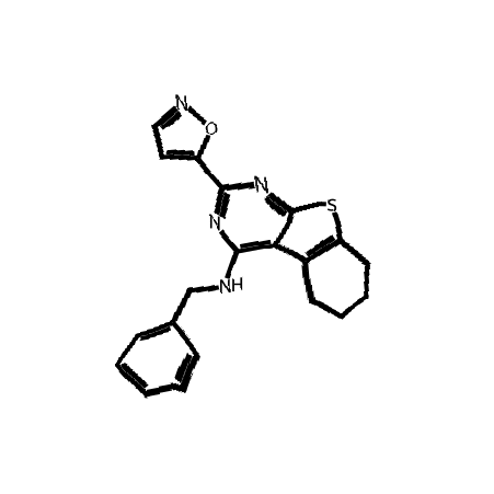 c1ccc(CNc2nc(-c3ccno3)nc3sc4c(c23)CCCC4)cc1